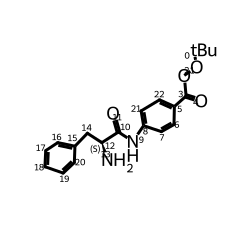 CC(C)(C)OOC(=O)c1ccc(NC(=O)[C@@H](N)Cc2ccccc2)cc1